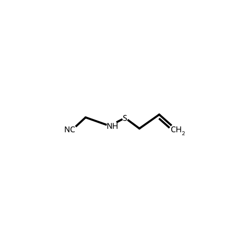 C=CCSNCC#N